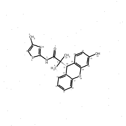 Cc1csc(NC(=O)C(C)(C)[C@H]2c3ccccc3Oc3cc(O)ccc32)n1